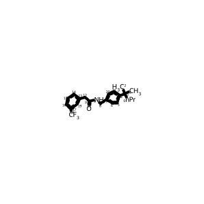 CCCC(C)(C)c1ccc(CNC(=O)Cc2cccc(C(F)(F)F)c2)cc1